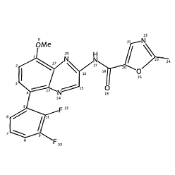 COc1ccc(-c2cccc(F)c2F)c2ncc(NC(=O)c3cnc(C)o3)nc12